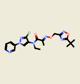 CCN(C(=O)/C(C)=N/OCc1noc(C(C)(C)C)n1)c1cn(-c2cccnc2)nc1Cl